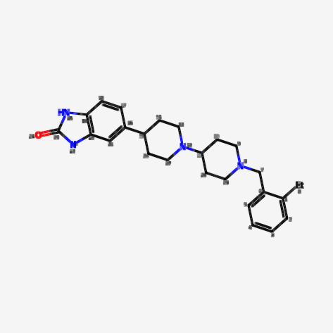 CCc1ccccc1CN1CCC(N2CCC(c3ccc4c(c3)[N]C(=O)N4)CC2)CC1